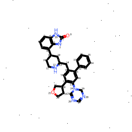 O=C1[N]c2c(cccc2C2CCNC(Cc3cc(C4CCOC4)c(N4C=NC=NC4)cc3-c3ccccc3)C2)N1